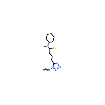 CCCCCCn1nnnc1CCCC(=S)N(C)C1CCCCC1